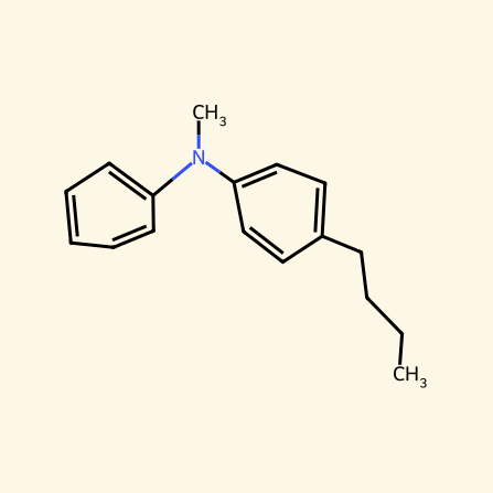 CCCCc1ccc(N(C)c2ccccc2)cc1